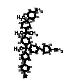 Bc1ccc(-c2ccc(C(C)(c3ccc(-c4ccc(Br)cc4)cc3)c3ccc(C(C)(C)C4=CCC(C)(c5ccc(B)cc5)C=C4)cc3)cc2)cc1